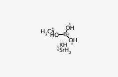 OB(O)O.[CaH2].[KH].[SrH2]